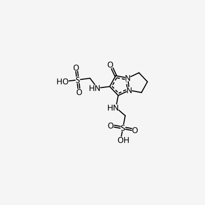 O=c1c(NCS(=O)(=O)O)c(NCS(=O)(=O)O)n2n1CCC2